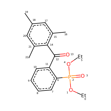 CCOP(=O)(OCC)c1ccccc1C(=O)c1c(C)cc(C)cc1C